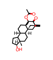 C#CC[C@]12CCC(=O)C(OC(C)=O)=C1CC[C@@H]1[C@@H]2CC[C@]2(C)[C@@H](O)CC[C@@H]12